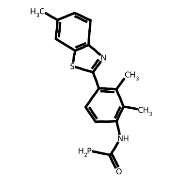 Cc1ccc2nc(-c3ccc(NC(=O)P)c(C)c3C)sc2c1